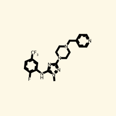 Cn1nc(N2CCN(Cc3ccncc3)CC2)nc1Nc1cc(C(F)(F)F)ccc1F